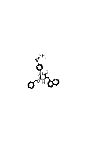 NC1CC1c1ccc(NC(=O)C(Cc2cccc3ccccc23)NC(=O)OCc2ccccc2)cc1